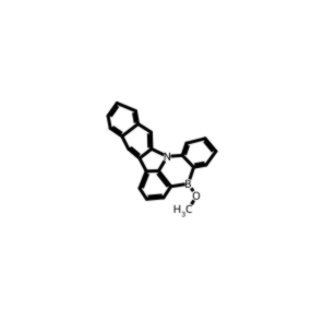 COB1c2ccccc2-n2c3cc4ccccc4cc3c3cccc1c32